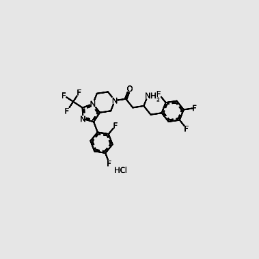 Cl.NC(CC(=O)N1CCn2c(C(F)(F)F)nc(-c3ccc(F)cc3F)c2C1)Cc1cc(F)c(F)cc1F